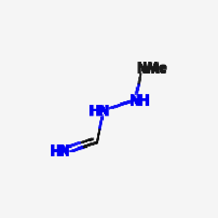 CNNNC=N